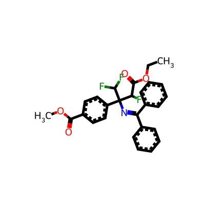 CCOC(=O)C(F)C(N=C(c1ccccc1)c1ccccc1)(c1ccc(C(=O)OC)cc1)C(F)F